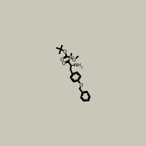 CO[N+](C)(C(=O)OC(C)(C)C)C(=O)[C@@H](N)Cc1ccc(OCc2ccccc2)cc1